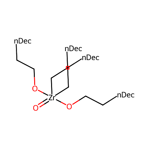 CCCCCCCCCCCC[O][Zr](=[O])([CH2]CCCCCCCCCCC)([CH2]CCCCCCCCCCC)[O]CCCCCCCCCCCC